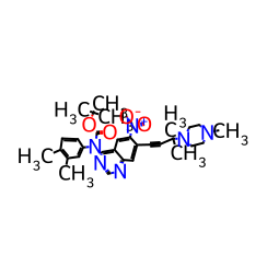 Cc1ccc(N(C(=O)OC(C)(C)C)c2ncnc3cc(C#CC(C)(C)N4CCN(C)CC4)c([N+](=O)[O-])cc23)cc1C